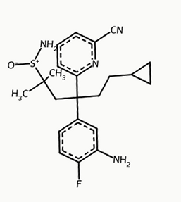 CC(C)(CC(CCC1CC1)(c1ccc(F)c(N)c1)c1cccc(C#N)n1)[S+](N)[O-]